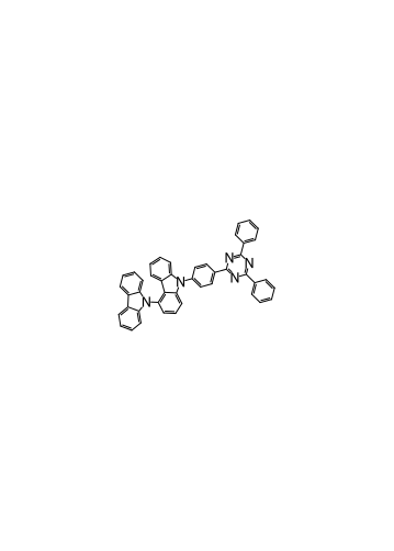 c1ccc(-c2nc(-c3ccccc3)nc(-c3ccc(-n4c5ccccc5c5c(-n6c7ccccc7c7ccccc76)cccc54)cc3)n2)cc1